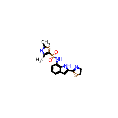 Cc1nc(C)c(S(=O)(=O)Nc2cccc3cc(C4=NCCS4)[nH]c23)s1